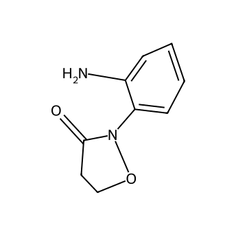 Nc1ccccc1N1OCCC1=O